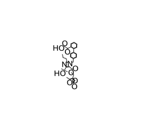 CCCc1nc(C(C)(C)O)c(C(=O)OCc2oc(=O)oc2C)n1Cc1ccc(-c2ccccc2C(=O)C(=O)O)cc1